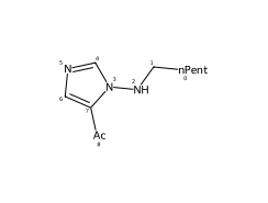 CCCCCCNn1cncc1C(C)=O